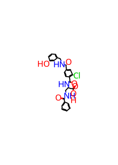 O=C(NCc1cccc(O)c1)c1ccc(C(=O)NC(CNC(=O)c2ccccc2)C(=O)O)c(Cl)c1